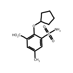 Cc1cc(C(=O)O)c(OC2CCCC2)c(S(N)(=O)=O)c1